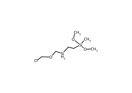 CO[Si](C)(CC[SiH2]COCCl)OC